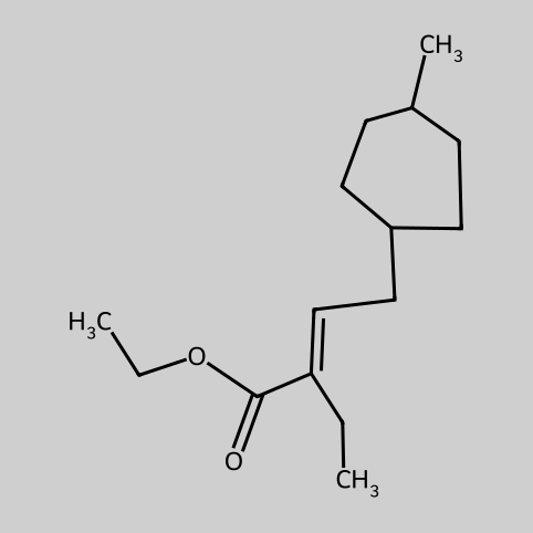 CCOC(=O)/C(=C/CC1CCC(C)CC1)CC